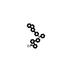 CCn1c2ccccc2c2c(-c3cccc(N(c4ccccc4)c4ccc(-c5ccc6c(ccc7ccccc76)c5)cc4)c3)cccc21